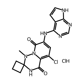 CN1n2c(c(Cl)cc(Nc3ncnc4[nH]ccc34)c2=O)C(=O)NC12CCC2.Cl